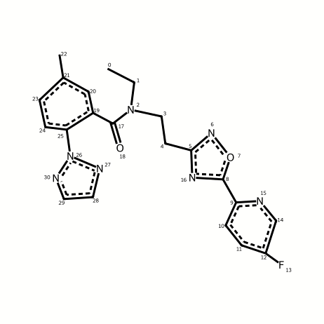 CCN(CCc1noc(-c2ccc(F)cn2)n1)C(=O)c1cc(C)ccc1-n1nccn1